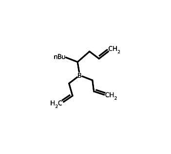 C=CCB(CC=C)C(CC=C)CCCC